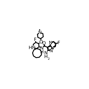 CN1CCC(OC2C(F)CNC3(CCCCCCCC3)C2NC(=O)c2c(N)nn3cc(F)cnc23)CC1